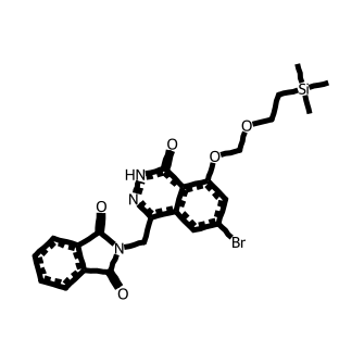 C[Si](C)(C)CCOCOc1cc(Br)cc2c(CN3C(=O)c4ccccc4C3=O)n[nH]c(=O)c12